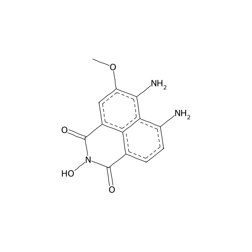 COc1cc2c3c(ccc(N)c3c1N)C(=O)N(O)C2=O